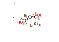 CC(C)(c1cc(Br)c(O)c(Br)c1)c1ccc(Oc2cc(C(C)(C)c3cc(Br)c(O)c(Br)c3)c(Br)c(O)c2Br)cc1Br